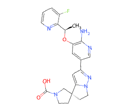 C[C@@H](Oc1cc(-c2cc3n(n2)CC[C@@]32CCN(C(=O)O)C2)cnc1N)c1ncccc1F